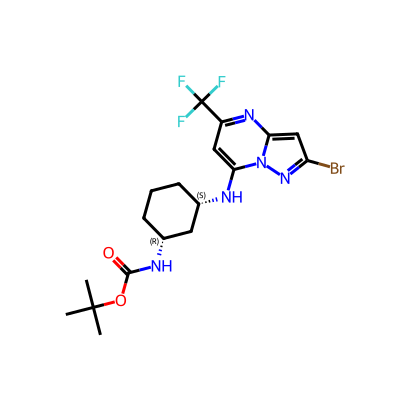 CC(C)(C)OC(=O)N[C@@H]1CCC[C@H](Nc2cc(C(F)(F)F)nc3cc(Br)nn23)C1